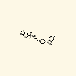 O=S(=O)(NCCCN1CCC(c2noc3cc(F)ccc23)CC1)c1ccc2c(c1)CCO2